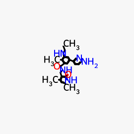 CCCNc1cc(-c2ccc(N)nc2)cc(C(=O)NCc2c(C)cc(C)[nH]c2=O)c1C